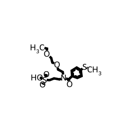 CCOCCOCCN(CCCS(=O)(=O)O)C(=O)c1ccc(SC)cc1